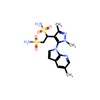 Cc1cnc2c(ccn2-c2c(C(CS(N)(=O)=O)S(N)(=O)=O)c(C)nn2C)c1